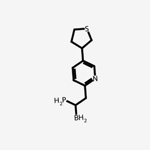 BC(P)Cc1ccc(C2CCSC2)cn1